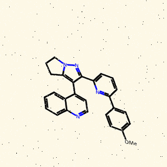 COc1ccc(-c2cccc(-c3nn4c(c3-c3ccnc5ccccc35)CCC4)n2)cc1